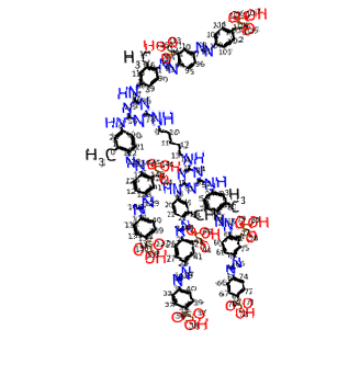 Cc1cc(Nc2nc(NCCCCCNc3nc(Nc4ccc(N=Nc5ccc(N=Nc6ccc(S(=O)(=O)O)cc6)cc5S(=O)(=O)O)c(C)c4)nc(Nc4ccc(N=Nc5ccc(N=Nc6ccc(S(=O)(=O)O)cc6)cc5S(=O)(=O)O)c(C)c4)n3)nc(Nc3ccc(N=Nc4ccc(N=Nc5ccc(S(=O)(=O)O)cc5)cc4S(=O)(=O)O)c(C)c3)n2)ccc1N=Nc1ccc(N=Nc2ccc(S(=O)(=O)O)cc2)cc1S(=O)(=O)O